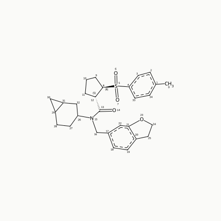 Cc1ccc(S(=O)(=O)[C@@H]2CCC[C@H]2C(=O)N(Cc2ccc3c(c2)OCC3)C2CCC3CC3C2)cc1